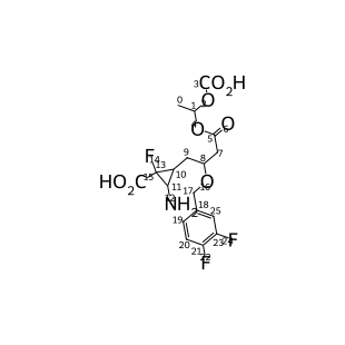 CC(OC(=O)O)OC(=O)CC(CC1C(N)C1(F)C(=O)O)OCc1ccc(F)c(F)c1